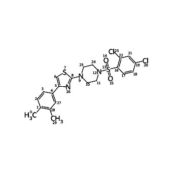 Cc1ccc(-c2csc(N3CCN(S(=O)(=O)c4ccc(Cl)cc4Cl)CC3)n2)cc1C